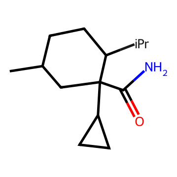 CC1CCC(C(C)C)C(C(N)=O)(C2CC2)C1